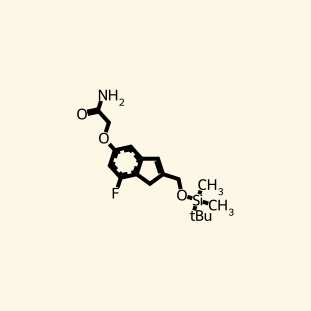 CC(C)(C)[Si](C)(C)OCC1=Cc2cc(OCC(N)=O)cc(F)c2C1